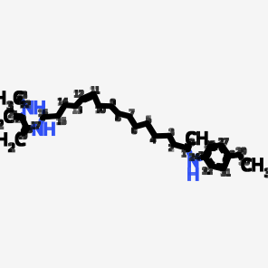 C=C(CCCCCCCCC/C=C\CCCCNC(=C)C(=C)NC)Nc1ccc(CC)cc1